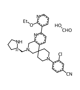 CCOc1ncccc1-c1ccc2c(n1)CN(C[C@H]1CCCN1)CC21CCN(c2ccc(C#N)cc2Cl)CC1.O=CO